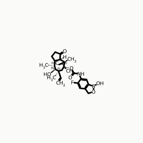 C=C[C@]1(C)C[C@@H](OC(=O)Nc2cc3c(cc2F)COB3O)[C@]2(C)[C@H](C)CC[C@]3(CCC(=O)[C@H]32)[C@@H](C)[C@@H]1O